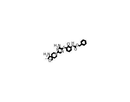 C[C@H]1OCC2(CCN(c3cnc(Sc4cccc(NC(=O)OCc5ccccc5)c4Cl)c(N)n3)CC2)[C@H]1N